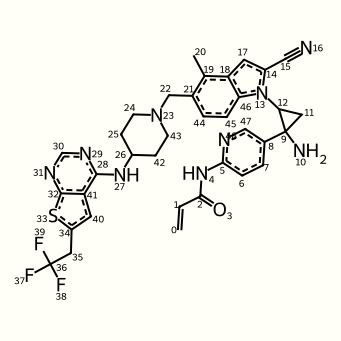 C=CC(=O)Nc1ccc(C2(N)CC2n2c(C#N)cc3c(C)c(CN4CCC(Nc5ncnc6sc(CC(F)(F)F)cc56)CC4)ccc32)cn1